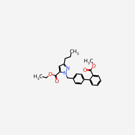 CCCc1cc(C(=O)OCC)n(Cc2ccc(-c3ccccc3C(=O)OC)cc2)n1